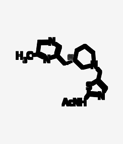 CC(=O)Nc1ncc(CN2CCC[C@@H](Cc3cncc(C)n3)C2)s1